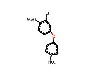 CCc1cc(Oc2ccc([N+](=O)[O-])cc2)ccc1OC